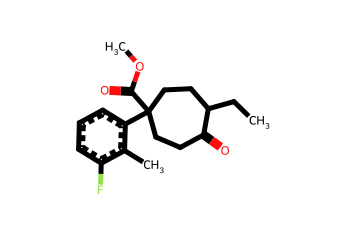 CCC1CCC(C(=O)OC)(c2cccc(F)c2C)CCC1=O